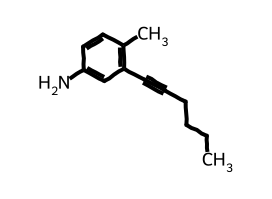 CCCCC#Cc1cc(N)ccc1C